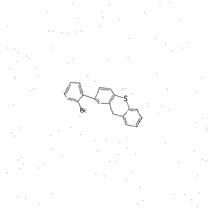 Brc1ccccc1-c1ccc2c(c1)Cc1ccccc1S2